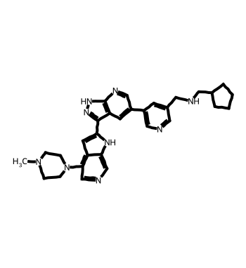 CN1CCN(c2cncc3[nH]c(-c4n[nH]c5ncc(-c6cncc(CNCC7CCCC7)c6)cc45)cc23)CC1